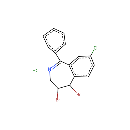 Cl.Clc1ccc2c(c1)C(c1ccccc1)=NCC(Br)C2Br